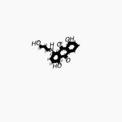 O=C1c2cccc(O)c2C(=O)c2c(NCCCO)ccc(O)c21